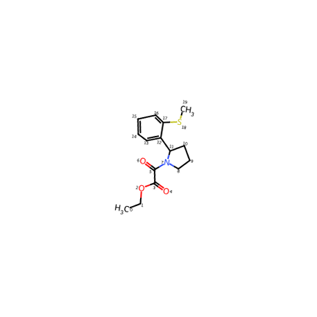 CCOC(=O)C(=O)N1CCCC1c1ccccc1SC